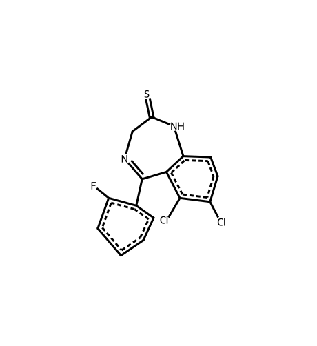 Fc1ccccc1C1=NCC(=S)Nc2ccc(Cl)c(Cl)c21